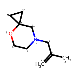 C=C(C)CN1CCOC2(CC2)C1